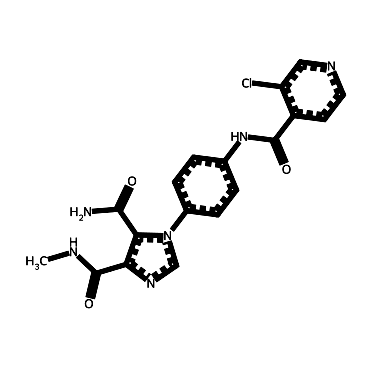 CNC(=O)c1ncn(-c2ccc(NC(=O)c3ccncc3Cl)cc2)c1C(N)=O